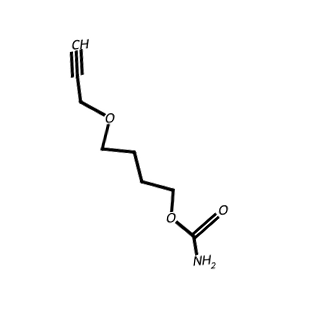 C#CCOCCCCOC(N)=O